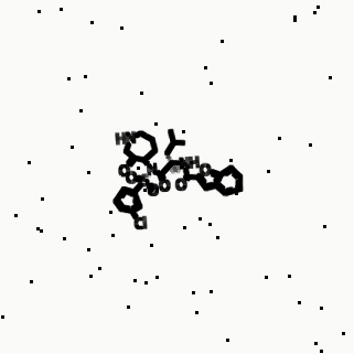 CC(C)C[C@H](NC(=O)c1cc2ccccc2o1)C(=O)N(C1CCCNCC1=O)S(=O)(=O)c1cccc(Cl)c1